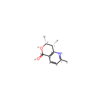 Cc1ccc2c(n1)[C@@H](C)[C@@H](C)OC2=O